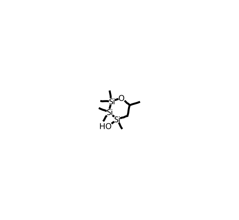 CC1C[Si](C)(O)[Si](C)(C)[Si](C)(C)O1